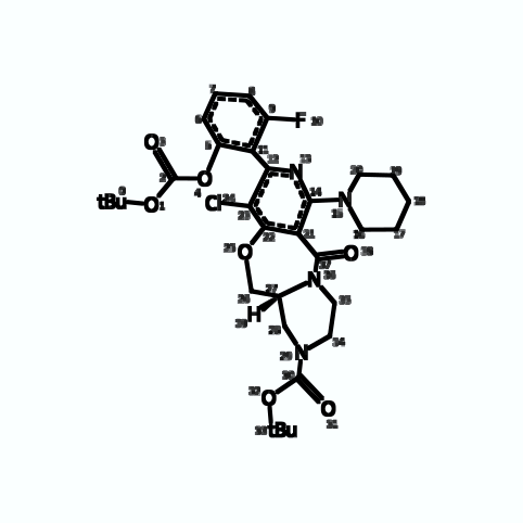 CC(C)(C)OC(=O)Oc1cccc(F)c1-c1nc(N2CCCCC2)c2c(c1Cl)OC[C@H]1CN(C(=O)OC(C)(C)C)CCN1C2=O